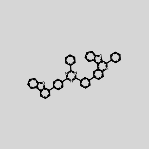 c1ccc(-c2nc(-c3ccc(-c4cccc5c4oc4ccccc45)cc3)nc(-c3cccc(-c4ccc5nc(-c6ccccc6)c6oc7ccccc7c6c5c4)c3)n2)cc1